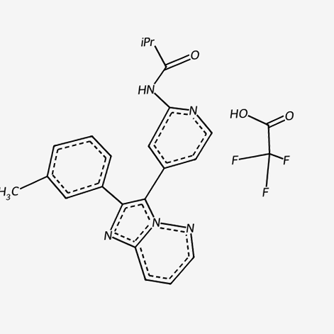 Cc1cccc(-c2nc3cccnn3c2-c2ccnc(NC(=O)C(C)C)c2)c1.O=C(O)C(F)(F)F